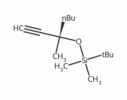 C#C[C@](C)(CCCC)O[Si](C)(C)C(C)(C)C